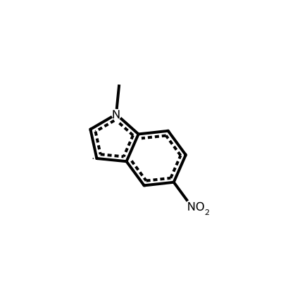 Cn1c[c]c2cc([N+](=O)[O-])ccc21